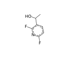 CC(O)c1ccc(F)nc1F